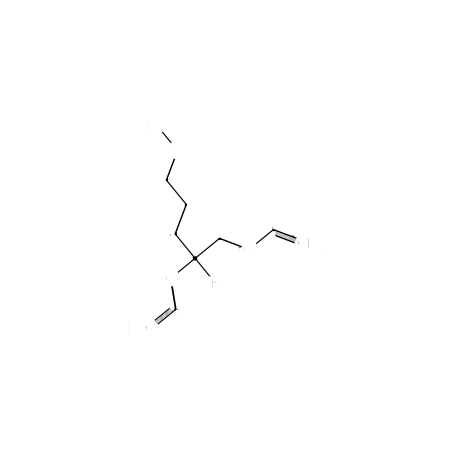 [CH2]COCCCC(CC)(COC=C)OC=C